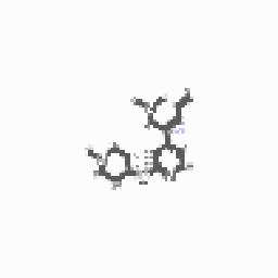 C=C/C=C(\CN(C)C)c1ccnc(OC2CCN(C)CC2)c1